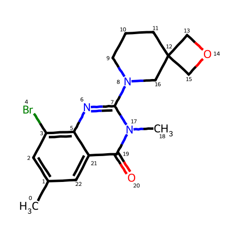 Cc1cc(Br)c2nc(N3CCCC4(COC4)C3)n(C)c(=O)c2c1